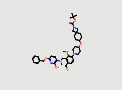 COc1c(N2CCC(OC3CCC4(CC3)CN(C(=O)OC(C)(C)C)C4)CC2)ccc(C=O)c1CN(C)c1ccc(OCc2ccccc2)nc1O